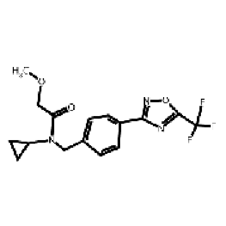 COCC(=O)N(Cc1ccc(-c2noc(C(F)(F)F)n2)cc1)C1CC1